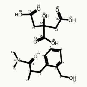 CC(Cc1ccccc1CO)C(=O)N(C)C.O=C(O)CC(O)(CC(=O)O)C(=O)O